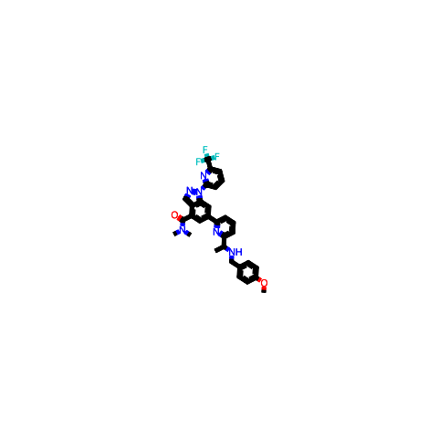 COc1ccc(CNC(C)c2cccc(-c3cc(C(=O)N(C)C)c4cnn(-c5cccc(C(F)(F)F)n5)c4c3)n2)cc1